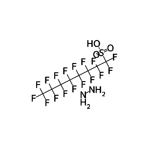 NN.O=S(=O)(O)C(F)(F)C(F)(F)C(F)(F)C(F)(F)C(F)(F)C(F)(F)C(F)(F)C(F)(F)F